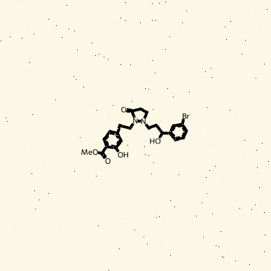 COC(=O)c1ccc(CCN2C(=O)CCN2CCC(O)c2cccc(Br)c2)cc1O